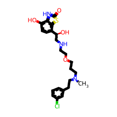 CN(CCCOCCNC[C@H](O)c1ccc(O)c2[nH]c(=O)sc12)CCc1cccc(Cl)c1